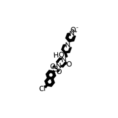 O=C1CN(S(=O)(=O)c2ccc3cc(Cl)ccc3c2)CCN1CC1(O)CCN(c2cc[n+]([O-])cc2)CC1